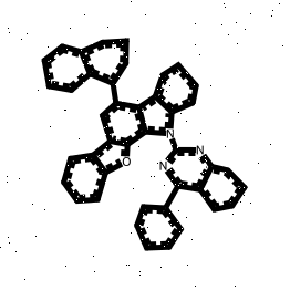 c1ccc(-c2nc(-n3c4ccccc4c4c(-c5cccc6ccccc56)cc5c6ccccc6oc5c43)nc3ccccc23)cc1